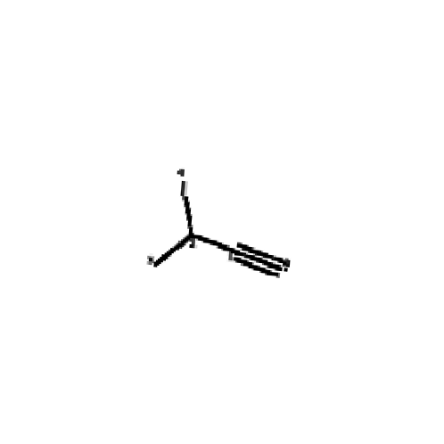 [C]#CC(C)I